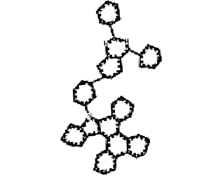 c1ccc(-c2nc(-c3ccccc3)c3ccc(-c4cccc(-n5c6ccccc6c6c7c8ccccc8c8ccccc8c7c7ccccc7c65)c4)cc3n2)cc1